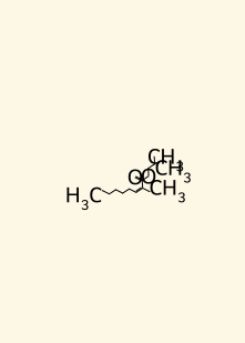 CCCCCCC=C(CC)C(=O)OCC(C)C